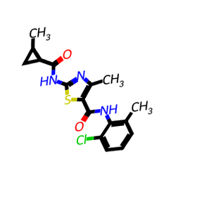 Cc1cccc(Cl)c1NC(=O)c1sc(NC(=O)C2CC2C)nc1C